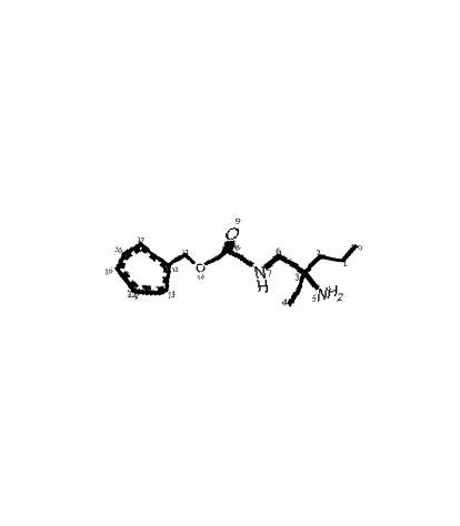 CCCC(C)(N)CNC(=O)OCc1ccccc1